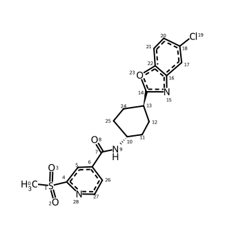 CS(=O)(=O)c1cc(C(=O)N[C@H]2CC[C@H](c3nc4cc(Cl)ccc4o3)CC2)ccn1